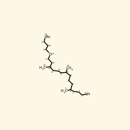 CC(C)CCCC(C)CCCC(C)CCCC(C)CCOCCCC(C)(C)C